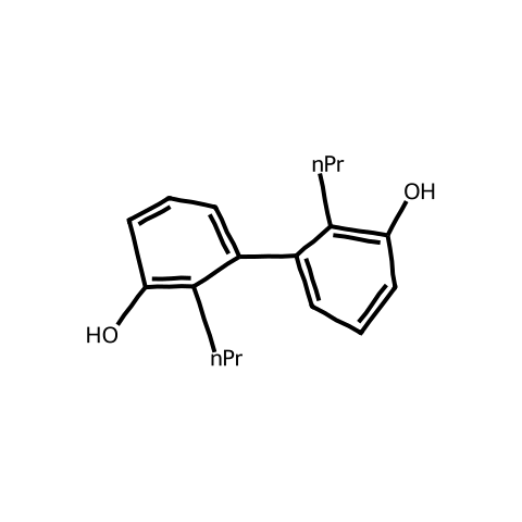 CCCc1c(O)cccc1-c1cccc(O)c1CCC